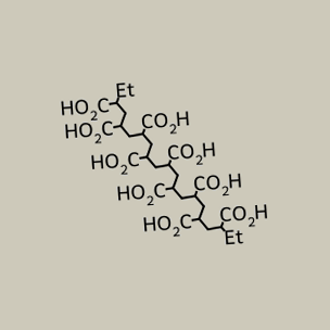 CCC(CC(CC(CC(CC(CC(CC(CC(CC(CC)C(=O)O)C(=O)O)C(=O)O)C(=O)O)C(=O)O)C(=O)O)C(=O)O)C(=O)O)C(=O)O